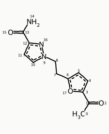 CC(=O)c1ccc(CCn2c[c]c(C(N)=O)n2)o1